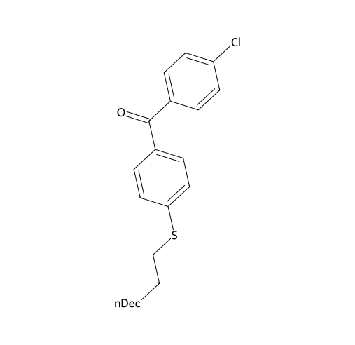 CCCCCCCCCCCCSc1ccc(C(=O)c2ccc(Cl)cc2)cc1